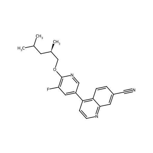 CC(C)C[C@@H](C)COc1ncc(-c2ccnc3cc(C#N)ccc23)cc1F